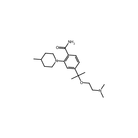 CC1CCN(c2cc(C(C)(C)OCCN(C)C)ccc2C(N)=O)CC1